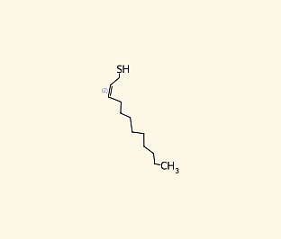 CCCCCCCCC/C=C\CS